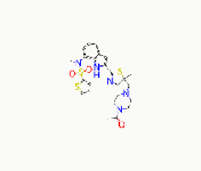 CC(=O)N1CCN(CC2(C)CN=C(c3cc4cccc(N(C)S(=O)(=O)c5cccs5)c4[nH]3)S2)CC1